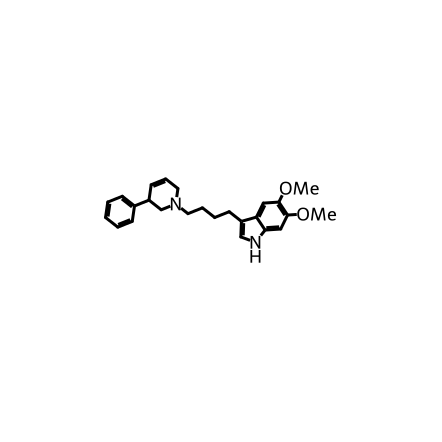 COc1cc2[nH]cc(CCCCN3CC=CC(c4ccccc4)C3)c2cc1OC